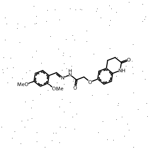 COc1ccc(C=NNC(=O)COc2ccc3c(c2)CCC(=O)N3)c(OC)c1